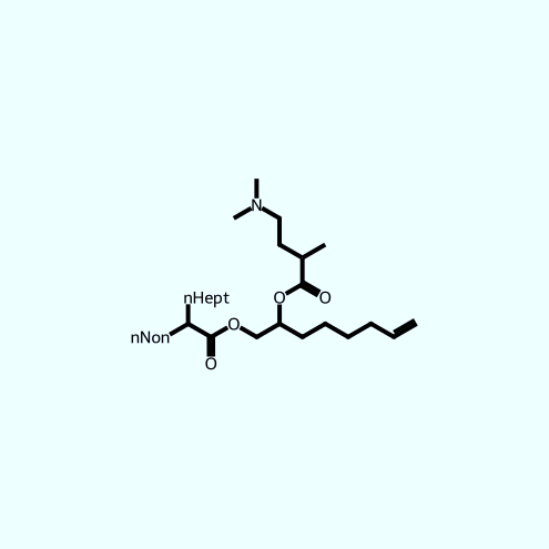 C=CCCCCC(COC(=O)C(CCCCCCC)CCCCCCCCC)OC(=O)C(C)CCN(C)C